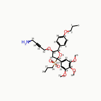 CCCOc1ccc(C2OC(c3cc(OC)c(OC)c(OC)c3)(S(=O)(=O)CCC)CC2OCC#CCN)cc1